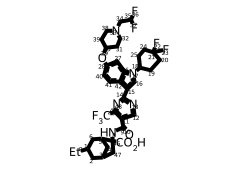 CCC1CC2CC(C1)C(NC(=O)c1cnc(-c3cn(C4CCC(F)(F)CC4)c4cc(OC5CCN(CC(F)F)CC5)ccc34)nc1C(F)(F)F)(C(=O)O)C2